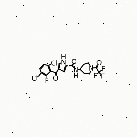 O=C(NC1CCN(C(=O)C(F)(F)F)CC1)c1cc(C(=O)c2c(Cl)ccc(Cl)c2F)c[nH]1